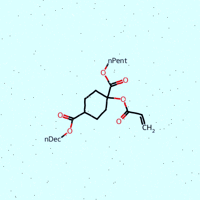 C=CC(=O)OC1(C(=O)OCCCCC)CCC(C(=O)OCCCCCCCCCC)CC1